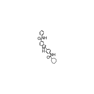 O=C(Nc1ccccc1)c1ccc2[nH]c(-c3ccc(NC(=O)C4CCCCCC4)cc3)cc2c1